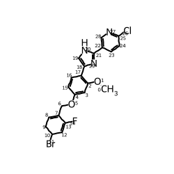 COc1cc(OCC2=CCC(Br)C=C2F)ccc1-c1c[nH]c(-c2ccc(Cl)nc2)n1